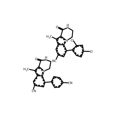 Cc1c2n(c3c(-c4ccc(C#N)cc4)cc(C#N)cc13)CCNC2=O.Cc1c2n(c3c(-c4ccc(Cl)cc4Cl)cc(C#N)cc13)CCNC2=O